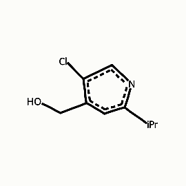 CC(C)c1cc(CO)c(Cl)cn1